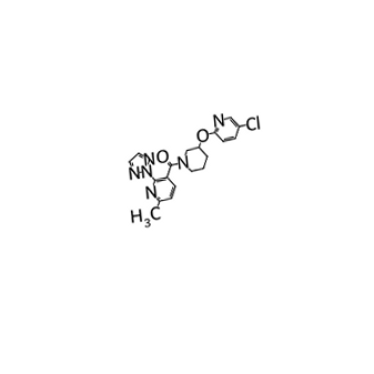 Cc1ccc(C(=O)N2CCCC(Oc3ccc(Cl)cn3)C2)c(-n2nccn2)n1